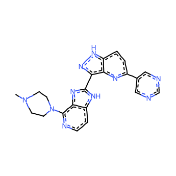 CN1CCN(c2nccc3[nH]c(-c4n[nH]c5ccc(-c6cncnc6)nc45)nc23)CC1